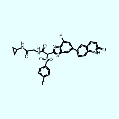 O=C(CNC(=O)C(c1nc2c(F)cc(-c3ccc4[nH]c(=O)ccc4c3)cc2s1)S(=O)(=O)c1ccc(F)cc1)NC1CC1